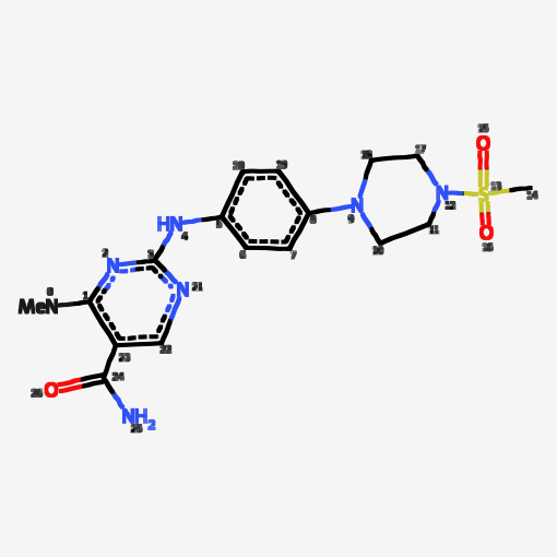 CNc1nc(Nc2ccc(N3CCN(S(C)(=O)=O)CC3)cc2)ncc1C(N)=O